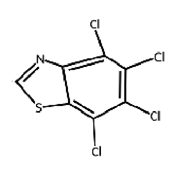 Clc1c(Cl)c(Cl)c2s[c]nc2c1Cl